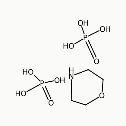 C1COCCN1.O=P(O)(O)O.O=P(O)(O)O